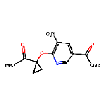 COC(=O)c1cnc(OC2(C(=O)OC)CC2)c([N+](=O)[O-])c1